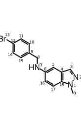 Cn1ncc2cc(NCc3ccc(Br)cc3)ccc21